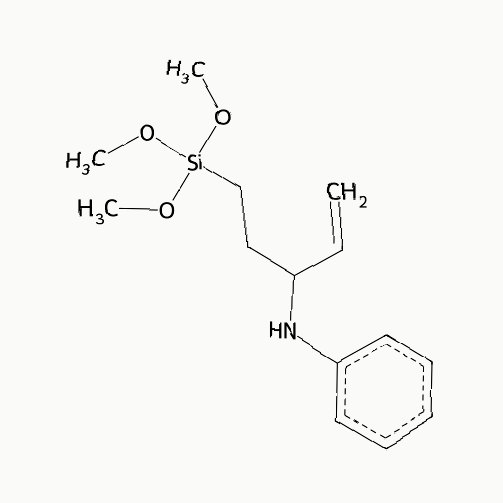 C=CC(CC[Si](OC)(OC)OC)Nc1ccccc1